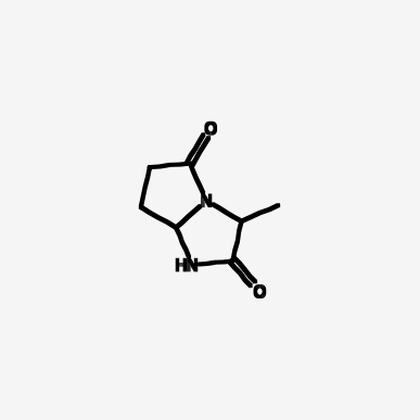 CC1C(=O)NC2CCC(=O)N21